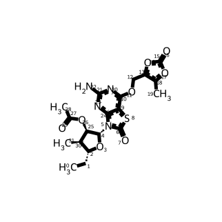 CC[C@H]1O[C@@H](n2c(=O)sc3c(OCc4oc(=O)oc4C)nc(N)nc32)[C@H](OC(C)=O)[C@@H]1C